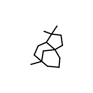 CC12CCCC3(CCC(C)(C)C3CC1)C2